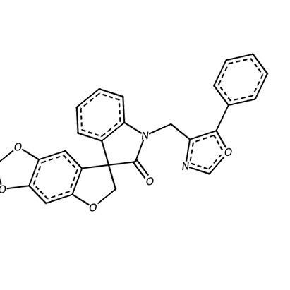 O=C1N(Cc2ncoc2-c2ccccc2)c2ccccc2C12COc1cc3c(cc12)OCO3